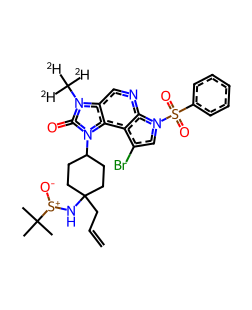 [2H]C([2H])([2H])n1c(=O)n(C2CCC(CC=C)(N[S+]([O-])C(C)(C)C)CC2)c2c3c(Br)cn(S(=O)(=O)c4ccccc4)c3ncc21